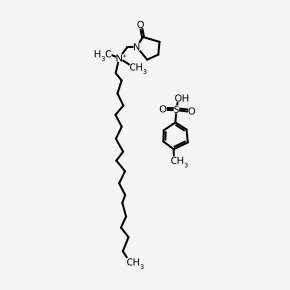 CCCCCCCCCCCCCCCCCC[N+](C)(C)CN1CCCC1=O.Cc1ccc(S(=O)(=O)O)cc1